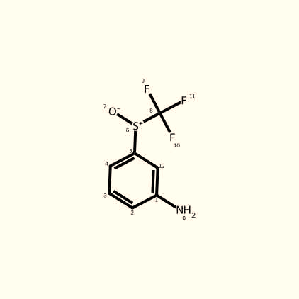 Nc1cccc([S+]([O-])C(F)(F)F)c1